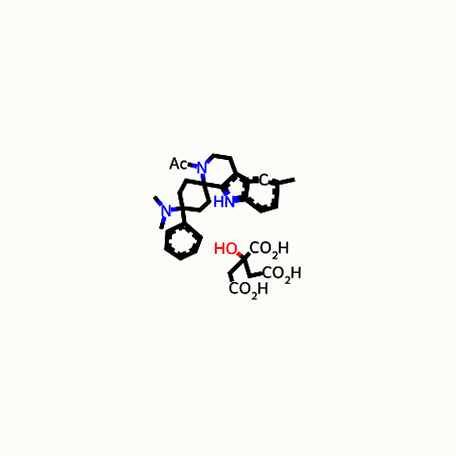 CC(=O)N1CCc2c([nH]c3ccc(C)cc23)C12CCC(c1ccccc1)(N(C)C)CC2.O=C(O)CC(O)(CC(=O)O)C(=O)O